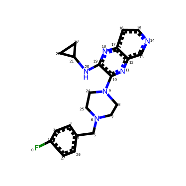 Fc1ccc(CN2CCN(c3nc4cnccc4nc3NC3CC3)CC2)cc1